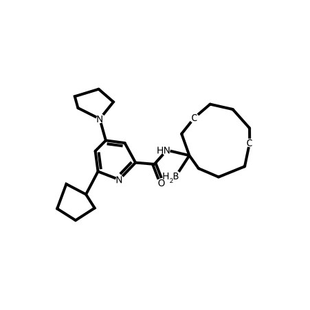 BC1(NC(=O)c2cc(N3CCCC3)cc(C3CCCC3)n2)CCCCCCCCC1